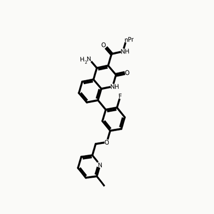 CCCNC(=O)c1c(N)c2cccc(-c3cc(OCc4cccc(C)n4)ccc3F)c2[nH]c1=O